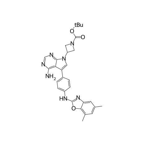 Cc1cc(C)c2oc(Nc3ccc(-c4cn(C5CN(C(=O)OC(C)(C)C)C5)c5ncnc(N)c45)cc3)nc2c1